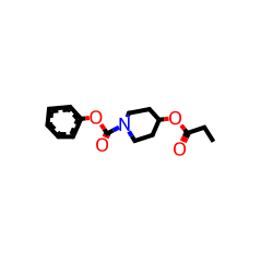 CCC(=O)OC1CCN(C(=O)Oc2ccccc2)CC1